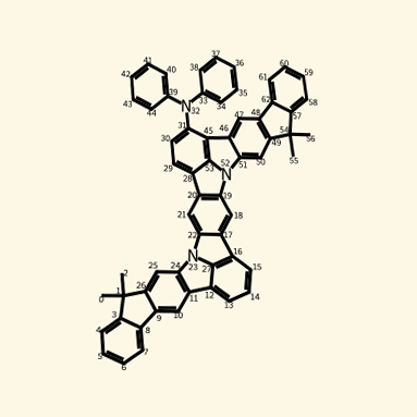 CC1(C)c2ccccc2-c2cc3c4cccc5c6cc7c(cc6n(c3cc21)c45)c1ccc(N(c2ccccc2)c2ccccc2)c2c3cc4c(cc3n7c12)C(C)(C)c1ccccc1-4